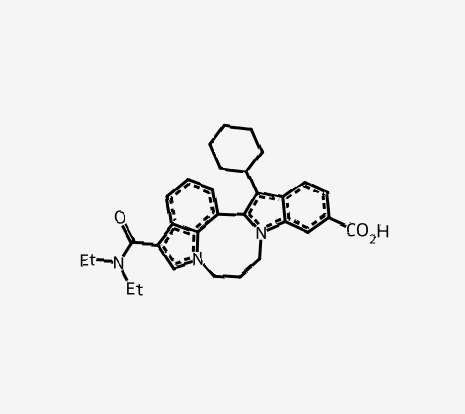 CCN(CC)C(=O)c1cn2c3c(cccc13)-c1c(C3CCCCC3)c3ccc(C(=O)O)cc3n1CCC2